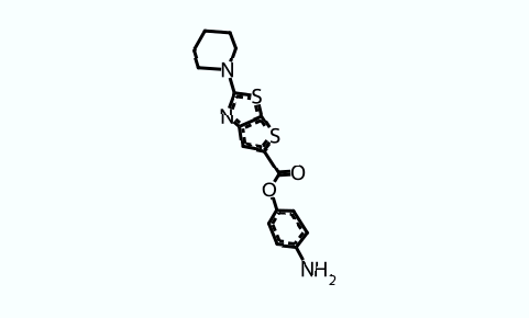 Nc1ccc(OC(=O)c2cc3nc(N4CCCCC4)sc3s2)cc1